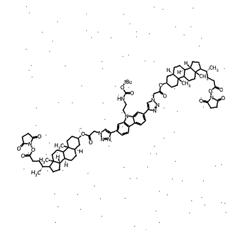 C[C@H](CCC(=O)ON1C(=O)CCC1=O)C1CC[C@H]2[C@@H]3CC[C@@H]4C[C@H](OC(=O)Cn5cc(-c6ccc7c8ccc(-c9cn(CC(=O)O[C@@H]%10CCC%11(C)C%12CCC%13(C)C([C@H](C)CCC(=O)ON%14C(=O)CCC%14=O)CC[C@H]%13[C@@H]%12CC[C@@H]%11C%10)nn9)cc8n(CCNC(=O)OC(C)(C)C)c7c6)nn5)CCC4(C)C3CCC12C